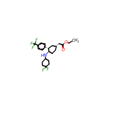 CCOC(=O)C[C@@H]1CC[C@@H](NC2CCC(F)(F)CC2)[C@H](c2ccc(C(F)(F)F)cc2)C1